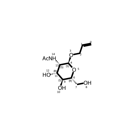 C=CCO[C@H]1O[C@H](CO)[C@@H](O)[C@H](O)[C@@H]1NC(C)=O